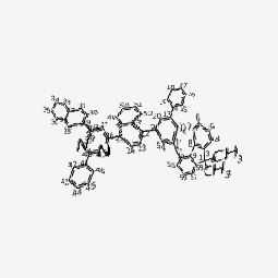 CC1(C)c2ccccc2-c2c(-c3cc(-c4ccccc4)cc(-c4ccc(-c5cc(-c6ccc7ccccc7c6)nc(-c6ccccc6)n5)c5ccccc45)c3)cccc21